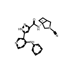 N#CN1CC2CC[C@]2(NC(=O)c2cc(-c3cnccc3Nc3ccccc3)[nH]n2)C1